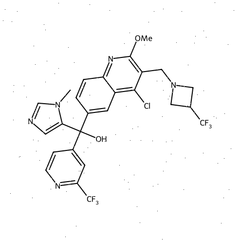 COc1nc2ccc(C(O)(c3ccnc(C(F)(F)F)c3)c3cncn3C)cc2c(Cl)c1CN1CC(C(F)(F)F)C1